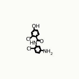 Nc1ccc(Cl)c(NC(=O)c2ccc(O)cc2Cl)c1